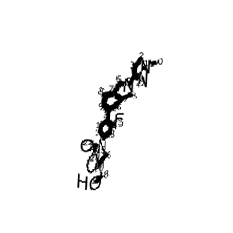 Cn1ccc(N2Cc3ccc(-c4ccc(N5C[C@H](CO)OC5=O)cc4F)cc3C2)n1